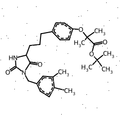 Cc1ccc(CN2C(=O)NC(CCCc3ccc(OC(C)(C)C(=O)OC(C)(C)C)cc3)C2=O)cc1C